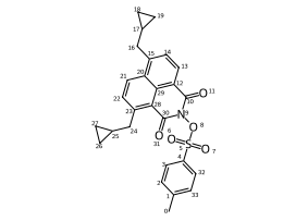 Cc1ccc(S(=O)(=O)ON2C(=O)c3ccc(CC4CC4)c4ccc(CC5CC5)c(c34)C2=O)cc1